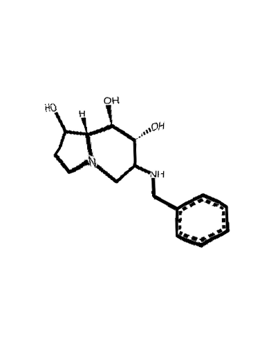 OC1CCN2CC(NCc3ccccc3)[C@@H](O)[C@H](O)[C@@H]12